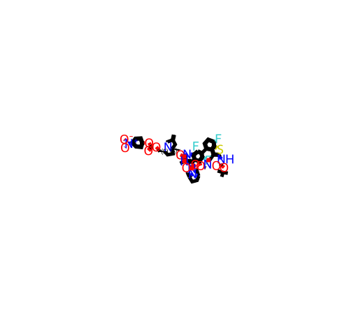 C=C1CN2[C@H](COC(=O)Oc3ccc([N+](=O)[O-])cc3)CC[C@@]2(COc2nc(N3CC4CCC(C3)N4C(=O)OC(C)(C)C)c3c(OC)c(F)c(-c4ccc(F)c5sc(NC(=O)OC(C)(C)C)c(C#N)c45)c(F)c3n2)C1